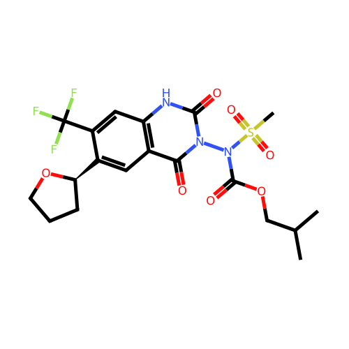 CC(C)COC(=O)N(n1c(=O)[nH]c2cc(C(F)(F)F)c([C@H]3CCCO3)cc2c1=O)S(C)(=O)=O